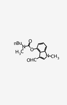 CCCCN(C)C(=O)Oc1cccc2c1c(C=O)cn2C